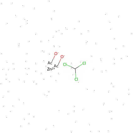 CC(=O)[O-].CC(=O)[O-].ClC(Cl)Cl.[Zn+2]